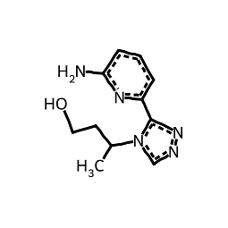 CC(CCO)n1cnnc1-c1cccc(N)n1